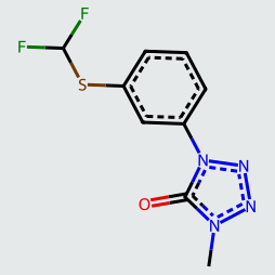 Cn1nnn(-c2cccc(SC(F)F)c2)c1=O